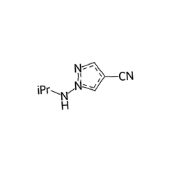 CC(C)Nn1cc(C#N)cn1